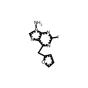 Nn1cnc2c(Cc3ccco3)nc(I)nc21